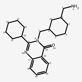 NCC1CCCC(Cn2c(C3CCCCC3)nc3ccccc3c2=O)C1